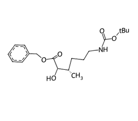 C[C@@H](CCCNC(=O)OC(C)(C)C)C(O)C(=O)OCc1ccccc1